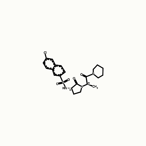 C[C@H](C(=O)N1CCCCC1)N1CC[C@H](NS(=O)(=O)c2ccc3cc(Cl)ccc3c2)C1=O